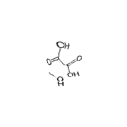 CO.O=C(O)C(=O)O